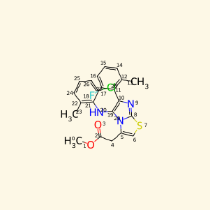 COC(=O)Cc1csc2nc(-c3c(C)cccc3F)c(Nc3c(C)cccc3Cl)n12